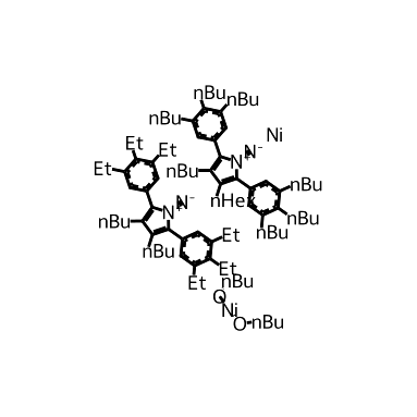 CCCCC1=C(c2cc(CC)c(CC)c(CC)c2)[N+](=[N-])C(c2cc(CC)c(CC)c(CC)c2)=C1CCCC.CCCCCCC1=C(c2cc(CCCC)c(CCCC)c(CCCC)c2)[N+](=[N-])C(c2cc(CCCC)c(CCCC)c(CCCC)c2)=C1CCCC.CCCC[O][Ni][O]CCCC.[Ni]